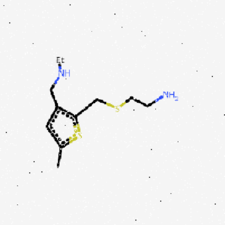 CCNCc1cc(C)sc1CSCCN